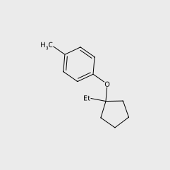 CCC1(Oc2ccc(C)cc2)CCCC1